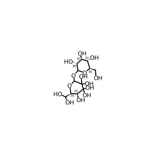 OC[C@H]1OC(OC2O[C@H](C(O)O)[C@H](O)C(O)(O)C2(O)O)[C@H](O)[C@@H](O)[C@@H]1O